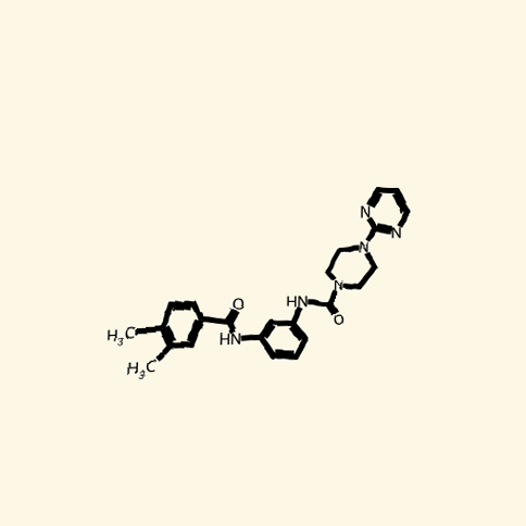 Cc1ccc(C(=O)Nc2cccc(NC(=O)N3CCN(c4ncccn4)CC3)c2)cc1C